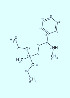 CCO[Si](C)(CCC(NC)c1ccccc1)OCC